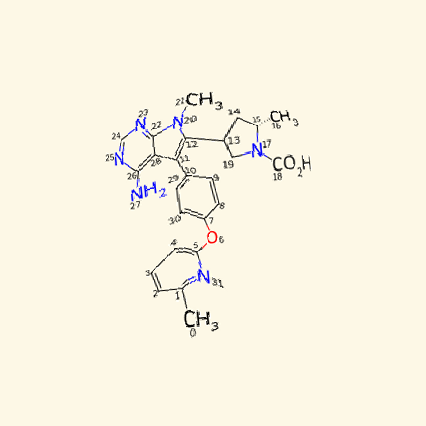 Cc1cccc(Oc2ccc(-c3c(C4C[C@H](C)N(C(=O)O)C4)n(C)c4ncnc(N)c34)cc2)n1